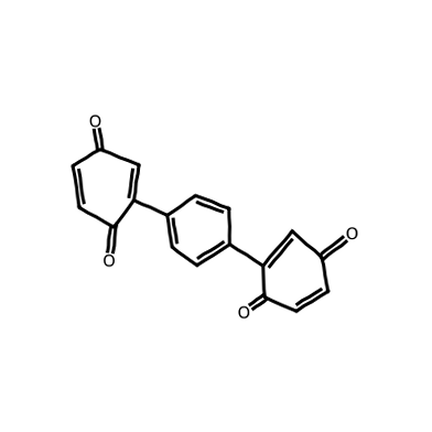 O=C1C=CC(=O)C(c2ccc(C3=CC(=O)C=CC3=O)cc2)=C1